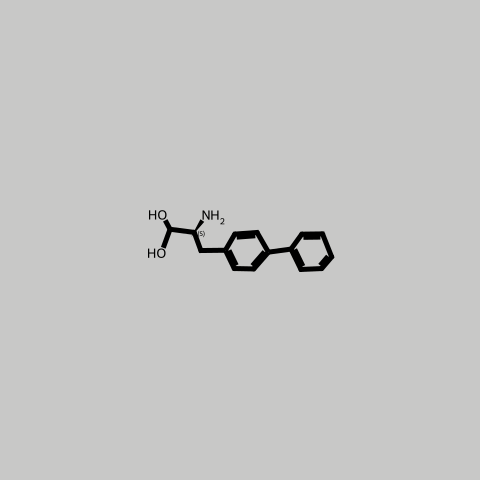 N[C@@H](Cc1ccc(-c2ccccc2)cc1)C(O)O